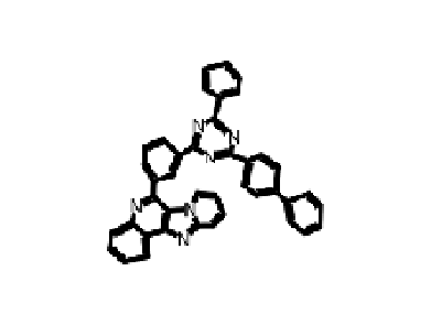 c1ccc(-c2ccc(-c3nc(-c4ccccc4)nc(-c4cccc(-c5nc6ccccc6c6nc7ccccn7c56)c4)n3)cc2)cc1